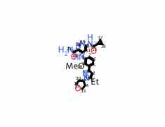 CCc1cc(-c2cccc(Nc3cc(NC(=O)C4CC4)nnc3C(N)=O)c2OC)nn1C1CCOCC1